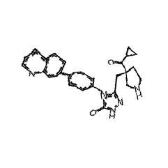 O=C(C1CC1)[C@]1(Cc2n[nH]c(=O)n2-c2ccc(-c3ccc4cccnc4c3)cc2)CCNC1